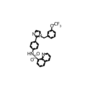 O=S(=O)(Nc1ccc(-c2nccn2Cc2cccc(OC(F)(F)F)c2)cc1)c1cccc2cccnc12